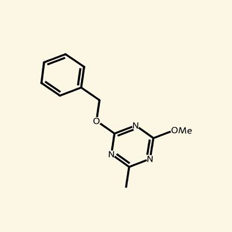 COc1nc(C)nc(OCc2ccccc2)n1